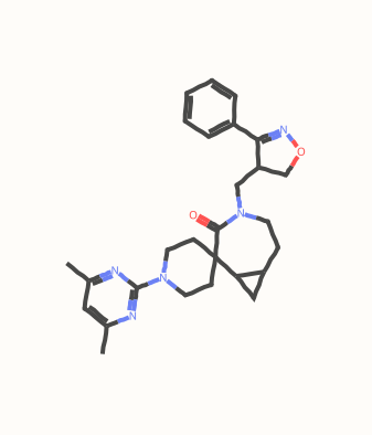 Cc1cc(C)nc(N2CCC3(CC2)C(=O)N(CC2CON=C2c2ccccc2)CCC2CC23)n1